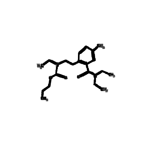 CCCOC(=O)N(CC)CCc1ccc(C)cc1C(=O)N(CC)CC